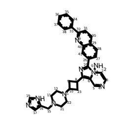 N[N+]12C=CN=CC1=C(C1CC(N3CCN(Cc4cnc[nH]4)CC3)C1)N=C2c1ccc2ccc(-c3ccccc3)nc2c1